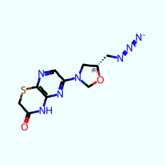 [N-]=[N+]=NC[C@H]1CN(c2cnc3c(n2)NC(=O)CS3)CO1